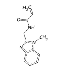 C=CC(=O)NCc1nc2ccccc2n1C